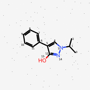 CC(C)n1cc(-c2ccccc2)c(O)n1